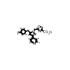 O=C(O)c1noc(Cn2nc(-c3ccncc3)cc2Cc2ccc(F)cc2)n1